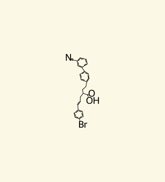 N#Cc1cccc(-c2ccc(CCC(CC=Cc3ccc(Br)cc3)C(=O)O)cc2)c1